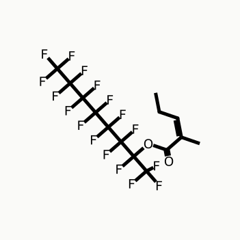 CCC=C(C)C(=O)OC(F)(C(F)(F)F)C(F)(F)C(F)(F)C(F)(F)C(F)(F)C(F)(F)C(F)(F)F